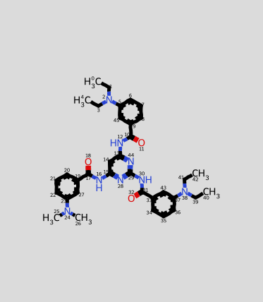 CCN(CC)c1cccc(C(=O)Nc2cc(NC(=O)c3cccc(N(C)C)c3)nc(NC(=O)c3cccc(N(CC)CC)c3)n2)c1